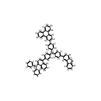 c1ccc(N(c2ccccc2)c2ccc(-c3ccc(N(c4ccc(-c5ccc6sc7ccccc7c6c5)cc4)c4ccc(-c5ccc6c7ccccc7c7ccccc7c6c5)cc4)cc3)c3ccccc23)cc1